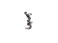 Cc1c(Nc2ncnc3cc(CN4CCC(O)C4)cnc23)cccc1-c1cccc(-c2nc3cc(CN4CCCCC4)cc(C#N)c3o2)c1C